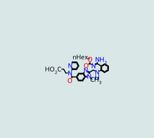 CCCCCCOC(=O)N=C(N)c1ccccc1NCc1nc2cc(C(=O)N(CCC(=O)O)c3ccccn3)ccc2n1C